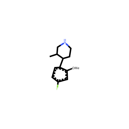 COc1cc(F)ccc1C1CCNCC1C